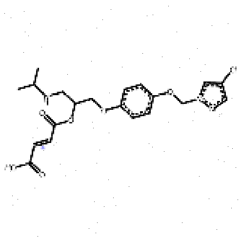 CC(C)NCC(COc1ccc(OCn2cc(Cl)cn2)cc1)OC(=O)/C=C/C(=O)O